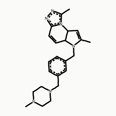 CC1=CC2C(C=Cc3nnc(C)n32)N1Cc1cccc(CN2CCN(C)CC2)c1